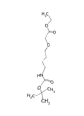 CCOC(=O)COCCCCNC(=O)OC(C)(C)C